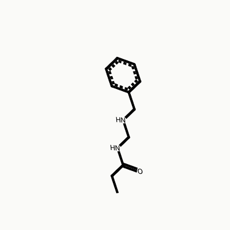 CCC(=O)NCNCc1ccccc1